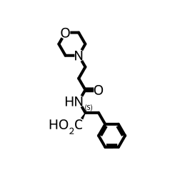 O=C(CCN1CCOCC1)N[C@@H](Cc1ccccc1)C(=O)O